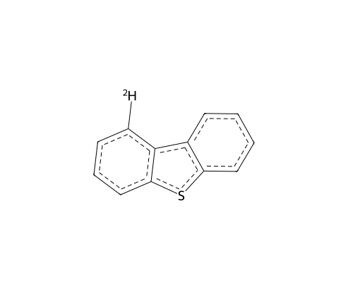 [2H]c1cccc2sc3ccccc3c12